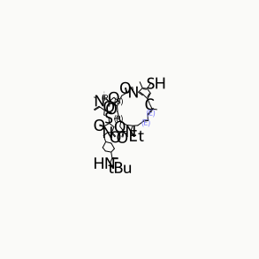 C=C(NC(C)(C)C)C1CCC(CN2C(=O)CC(SCCC(=C)N(C)[C@H](C)C(=O)O[C@H]3CC(=O)N(C)c4cc(cc(S)c4C)C/C(C)=C/C=C/CC4CC(OC(=O)N4CC)[C@@H](C)C4OC43C)C2=O)CC1